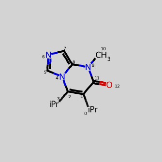 CC(C)c1c(C(C)C)n2cncc2n(C)c1=O